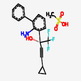 CS(=O)(=O)O.Nc1c(-c2ccccc2)cccc1[C@](O)(C#CC1CC1)C(F)(F)F